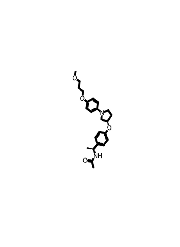 COCCCOc1ccc(N2CC[C@@H](Oc3ccc([C@H](C)NC(C)=O)cc3)C2)cc1